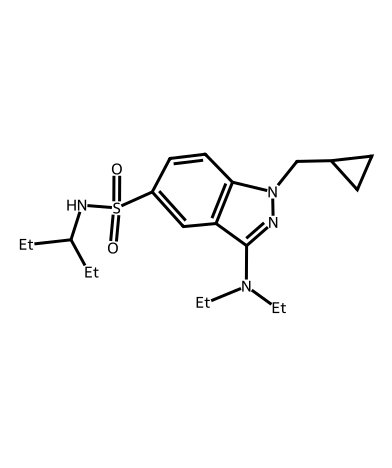 CCC(CC)NS(=O)(=O)c1ccc2c(c1)c(N(CC)CC)nn2CC1CC1